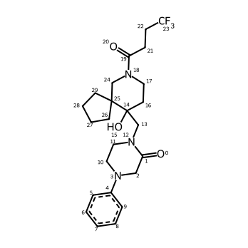 O=C1CN(c2ccccc2)CCN1CC1(O)CCN(C(=O)CCC(F)(F)F)CC12CCCC2